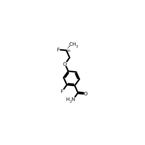 C[C@@H](F)COc1ccc(C(N)=O)c(F)c1